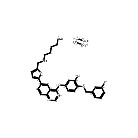 COCCCCNCc1ccc(-c2ccc3ncnc(Nc4ccc(OCc5cccc(F)c5)c(Cl)c4)c3c2)o1.CS(=O)(=O)O.CS(=O)(=O)O